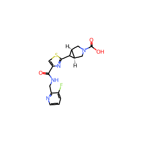 O=C(NCc1ncccc1F)c1csc(C2[C@H]3CN(C(=O)O)C[C@@H]23)n1